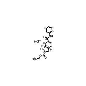 CCOC(=O)[C@@H]1C[C@@H]2CCN(C(=O)Nc3ccccc3)C[C@@H]2N1.Cl